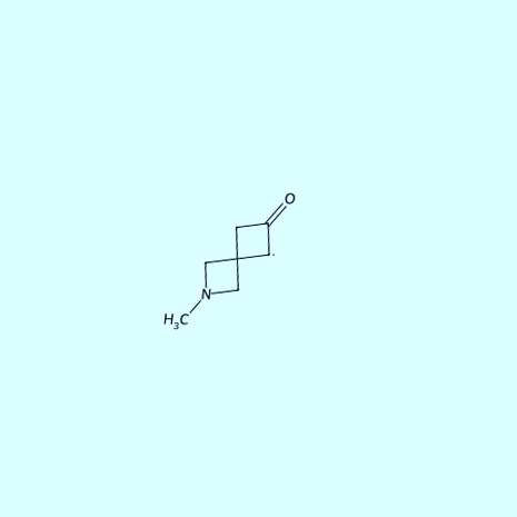 CN1CC2([CH]C(=O)C2)C1